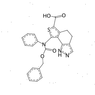 O=C(O)c1sc(N(C(=O)OCc2ccccc2)c2ccccc2)c2c1CCc1cn[nH]c1-2